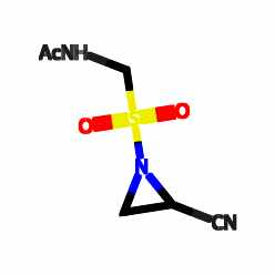 CC(=O)NCS(=O)(=O)N1CC1C#N